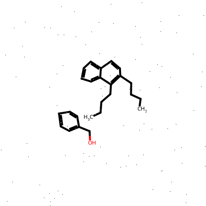 CCCCc1ccc2ccccc2c1CCCC.OCc1ccccc1